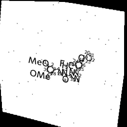 COc1cc(C=NNC(=O)c2cncc(-c3ccc(OC4CCCC4)cc3C(F)(F)F)n2)cc(OC)c1